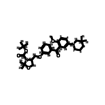 COc1ccc(N2CCCC(C)(C)C2)cc1C(=O)c1cccc(OCC2COC(C)(C)N2C(=O)OC(C)(C)C)c1